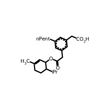 CCCCCc1cc(CC(=O)O)cc(CC(=O)OC2C=C(C)CCC2C(C)C)c1